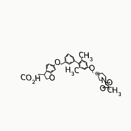 Cc1cc(OC[C@@H]2CCN(S(C)(=O)=O)C2)cc(C)c1-c1cccc(COc2ccc3c(c2)OCC3CC(=O)O)c1